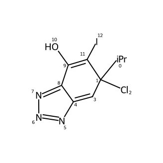 CC(C)C1(Cl)C=C2N=NN=C2C(O)=C1I